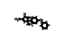 NC1=CC(N)(c2ccc(Oc3ccncc3)cc2)NN1